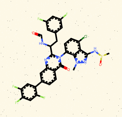 Cn1nc(N[S+](C)[O-])c2c(Cl)ccc(-n3c(C(Cc4cc(F)cc(F)c4)NC=O)nc4cc(-c5cc(F)c(F)cc5F)ccc4c3=O)c21